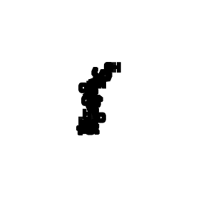 CCc1c2c(nc3ccc(O)cc13)-c1cc3c(c(=O)n1C2)COC(=O)C3(CC)OC(=O)CNC(=O)[C@H](CC(C)C)NC(=O)OC(C)(C)C